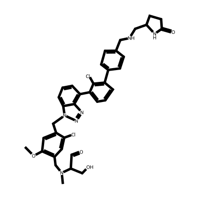 COc1cc(Cn2nnc3c(-c4cccc(-c5ccc(CNCC6CCC(=O)N6)cc5)c4Cl)cccc32)c(Cl)cc1CN(C)C(C=O)CO